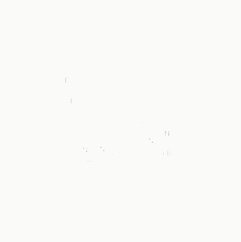 CCCCC1=NC2(CCCC2)C(=O)N1Cc1ccc(-c2cc(-c3cccc(F)c3F)ccc2/C(N)=N/O)cc1